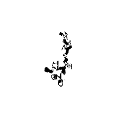 C#CCNC(C[N+](=O)[O-])NCCSCc1csc(CN(C)C)n1